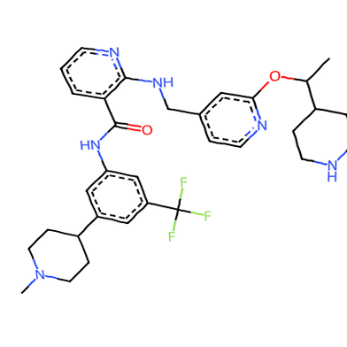 CC(Oc1cc(CNc2ncccc2C(=O)Nc2cc(C3CCN(C)CC3)cc(C(F)(F)F)c2)ccn1)C1CCNCC1